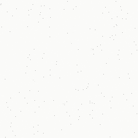 O=C=NCCCCCCN=C=O.O=C=Nc1ccc(Cc2ccc(N=C=O)cc2)cc1